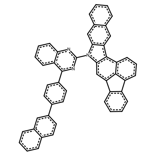 c1ccc2c(c1)-c1cccc3c1c-2cc1c3c2cc3ccccc3cc2n1-c1nc(-c2ccc(-c3ccc4ccccc4c3)cc2)c2ccccc2n1